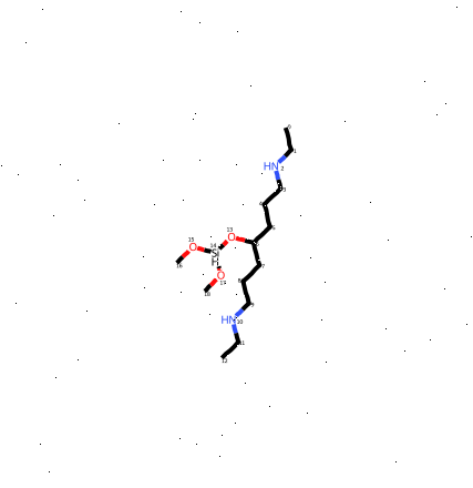 CCNCCCC(CCCNCC)O[SiH](OC)OC